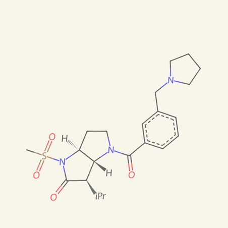 CC(C)[C@H]1C(=O)N(S(C)(=O)=O)[C@H]2CCN(C(=O)c3cccc(CN4CCCC4)c3)[C@H]12